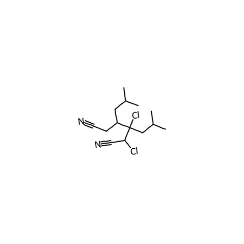 CC(C)CC(CC#N)C(Cl)(CC(C)C)C(Cl)C#N